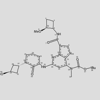 CO[C@H]1CCC1NC(=O)c1cnc2c(N(C)C(=O)OC(C)(C)C)cc(Nc3cccn([C@H]4C[C@H](OC)C4)c3=O)nn12